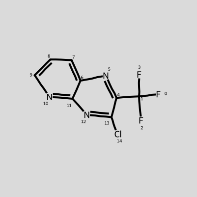 FC(F)(F)c1nc2cccnc2nc1Cl